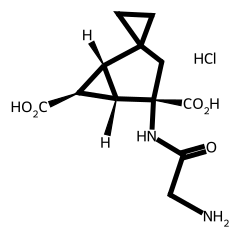 Cl.NCC(=O)N[C@@]1(C(=O)O)CC2(CC2)[C@H]2[C@H](C(=O)O)[C@H]21